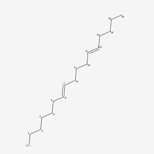 [CH2]CCCCCC=CCCCC=CCCCC